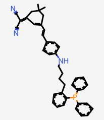 CC1(C)CC(C=Cc2ccc(NCCCCc3ccccc3P(c3ccccc3)c3ccccc3)cc2)=CC(=C(C#N)C#N)C1